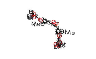 CCO[Si](CCCOc1ccc(C=CC(=O)CC(=O)C=Cc2ccc(OCCC[Si](OCC)(OCC)OCC)c(OC)c2)cc1OC)(OCC)OCC